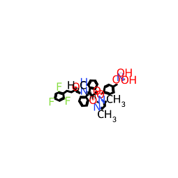 Cc1cc(C)nc(O[C@H](C(=O)Oc2ccc(CON(O)O)cc2)[C@](NCC(=O)CCc2c(F)cc(F)cc2F)(c2ccccc2)c2ccccc2C)n1